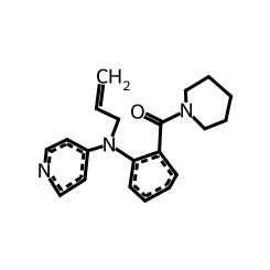 C=CCN(c1ccncc1)c1ccccc1C(=O)N1CCCCC1